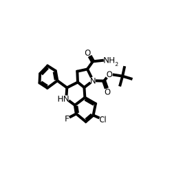 CC(C)(C)OC(=O)N1C(C(N)=O)CC2C(c3ccccc3)Nc3c(F)cc(Cl)cc3C21